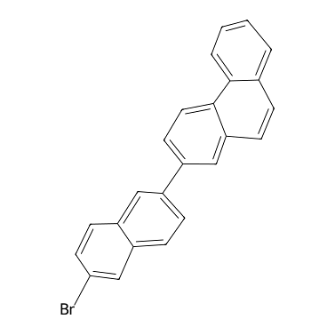 Brc1ccc2cc(-c3ccc4c(ccc5ccccc54)c3)ccc2c1